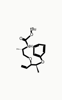 C=C[C@@H](OC[C@H](C)NC(=O)OC(C)(C)C)[C@H](C)Oc1ccccc1